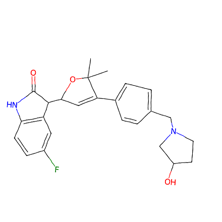 CC1(C)OC(C2C(=O)Nc3ccc(F)cc32)C=C1c1ccc(CN2CCC(O)C2)cc1